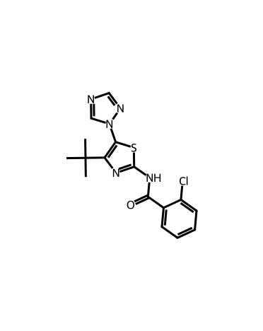 CC(C)(C)c1nc(NC(=O)c2ccccc2Cl)sc1-n1cncn1